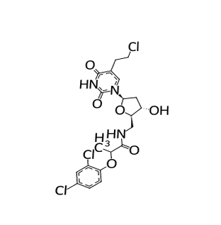 CC(Oc1ccc(Cl)cc1Cl)C(=O)NC[C@H]1O[C@@H](n2cc(CCCl)c(=O)[nH]c2=O)C[C@@H]1O